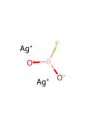 [Ag+].[Ag+].[O-]B([O-])F